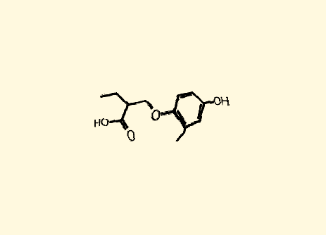 CCC(COc1ccc(O)cc1C)C(=O)O